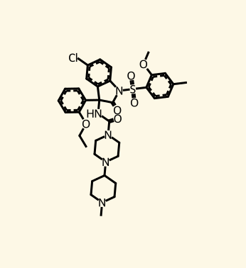 CCOc1ccccc1C1(NC(=O)N2CCN(C3CCN(C)CC3)CC2)C(=O)N(S(=O)(=O)c2ccc(C)cc2OC)c2ccc(Cl)cc21